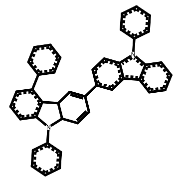 C1=CC2C(C=C1c1ccc3c(c1)c1ccccc1n3-c1ccccc1)c1c(-c3ccccc3)cccc1N2c1ccccc1